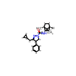 CC1(C)[C@@H]2CC[C@@]1(C)[C@@H](NC(=O)N1CC(c3ccccc3)C(CC3CC3)=N1)C2